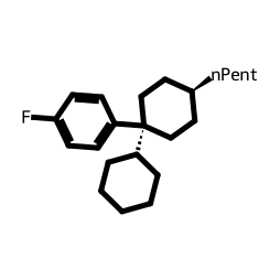 CCCCC[C@H]1CC[C@](c2ccc(F)cc2)(C2CCCCC2)CC1